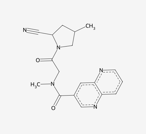 CC1CC(C#N)N(C(=O)CN(C)C(=O)c2cnc3cccnc3c2)C1